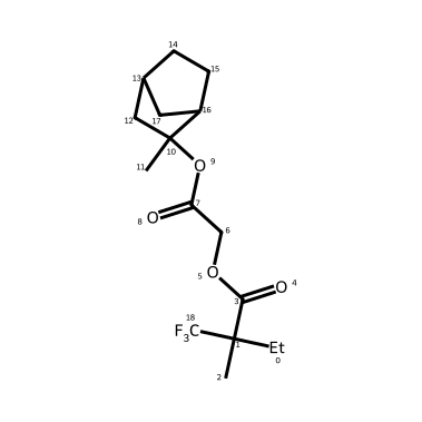 CCC(C)(C(=O)OCC(=O)OC1(C)CC2CCC1C2)C(F)(F)F